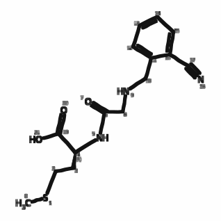 CSCC[C@H](NC(=O)CNCc1ccccc1C#N)C(=O)O